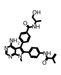 C=C(C)C(=O)Nc1ccc(-c2c(-c3ccc(C(=O)NC(C)CO)cc3)c3c(N)ncnc3n2C)cc1